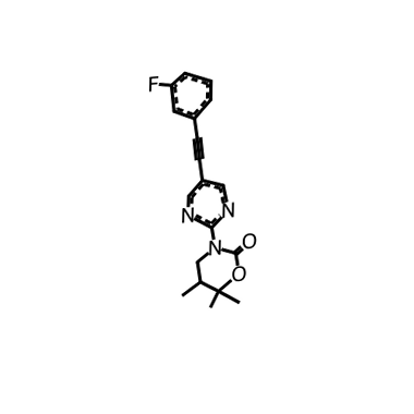 CC1CN(c2ncc(C#Cc3cccc(F)c3)cn2)C(=O)OC1(C)C